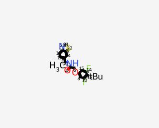 CC(NC(=O)COc1cc(F)c(C(C)(C)C)c(F)c1)c1ccc2ncsc2c1